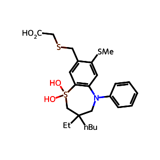 CCCCC1(CC)CN(c2ccccc2)c2cc(SC)c(CSCC(=O)O)cc2S(O)(O)C1